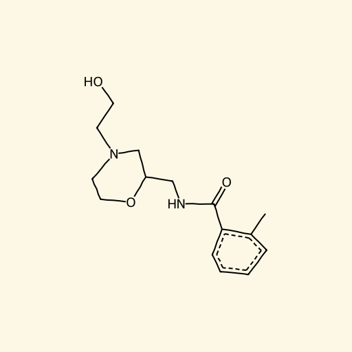 Cc1ccccc1C(=O)NCC1CN(CCO)CCO1